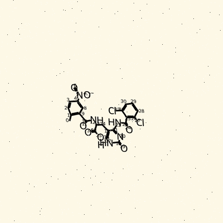 Cc1ccc([N+](=O)[O-])cc1C(=O)NC(Cc1c[nH]c(=O)nc1NC(=O)c1c(Cl)cccc1Cl)C(=O)O